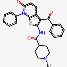 CCN1CCC(C(=O)Nc2sc3c(ccc(=O)n3-c3ccccc3)c2C(=O)c2ccccc2)CC1